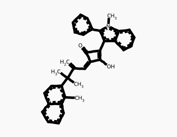 C=C(/C=C1\C(=O)C(c2c(-c3ccccc3)n(C)c3ccccc23)=C1O)C(C)(C)c1ccc2ccccc2c1C